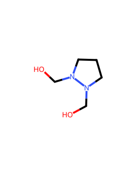 OCN1CCCN1CO